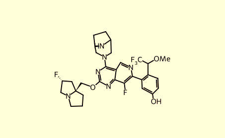 COC(c1ccc(O)cc1-c1ncc2c(N3CC4CCC(C3)N4)nc(OC[C@@]34CCCN3C[C@H](F)C4)nc2c1F)C(F)(F)F